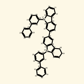 C1=Cc2c(c3cc(-c4ccc5c6ccccc6n(-c6cccc(-c7ccccc7)c6)c5c4)ccc3n2-c2cccc(-c3ccccc3)c2)CC1